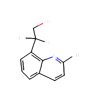 Cc1ccc2cccc(C(C)(C)CO)c2n1